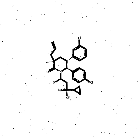 C=CC[C@@]1(C)C[C@H](c2cccc(Cl)c2)[C@@H](c2ccc(Cl)cc2)N(C(CC)C[C@@](O)(C2CC2)C(F)(F)F)C1=O